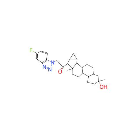 CC1(O)CCC2C(CCC3C2CCC2(C)C(C(=O)Cn4nnc5cc(F)ccc54)C4CC4C32)C1